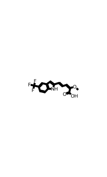 CO/C(=C/C=C/c1cc2cc(C(F)(F)F)ccc2[nH]1)C(=O)O